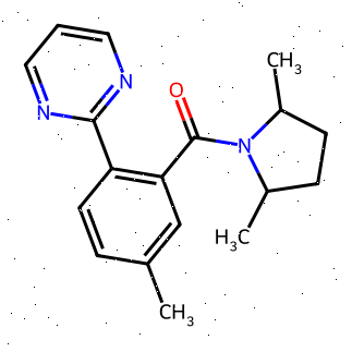 Cc1ccc(-c2ncccn2)c(C(=O)N2C(C)CCC2C)c1